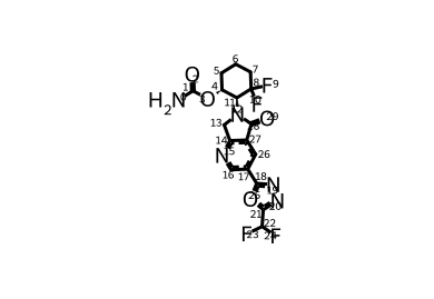 NC(=O)O[C@@H]1CCCC(F)(F)[C@H]1N1Cc2ncc(-c3nnc(C(F)F)o3)cc2C1=O